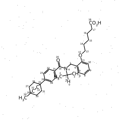 [2H]C(C)(C)N(Cc1ccccc1OCCCCCC(=O)O)C(=O)c1ccc(C23CCC(C)(CC2)CC3)cc1